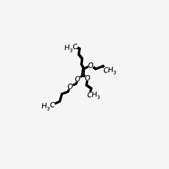 CCCCCC(OCCC)=C(OCCC)OCOCCCC